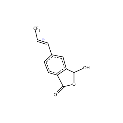 O=C1OC(O)c2cc(/C=C/C(F)(F)F)ccc21